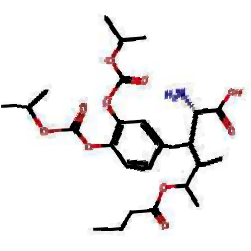 CCCC(=O)OC(C)C(C)C(c1ccc(OC(=O)OC(C)C)c(OC(=O)OC(C)C)c1)[C@H](N)C(=O)O